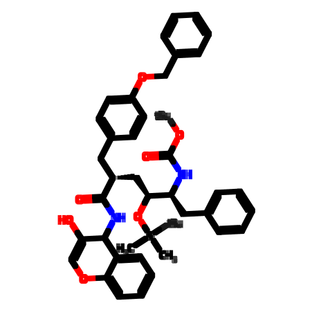 CC(C)(C)OC(=O)N[C@@H](Cc1ccccc1)[C@H](C[C@@H](Cc1ccc(OCc2ccccc2)cc1)C(=O)NC1C(O)=COc2ccccc21)O[Si](C)(C)C(C)(C)C